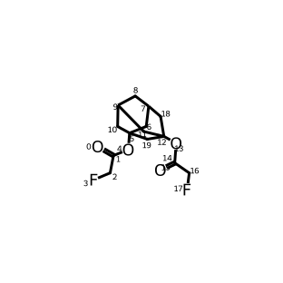 O=C(CF)OC12CC3CC(C1)CC(OC(=O)CF)(C3)C2